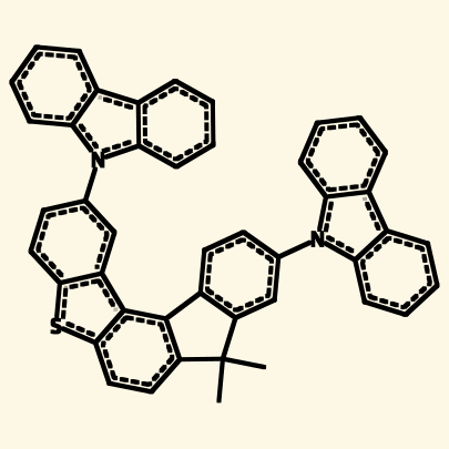 CC1(C)c2cc(-n3c4ccccc4c4ccccc43)ccc2-c2c1ccc1sc3ccc(-n4c5ccccc5c5ccccc54)cc3c21